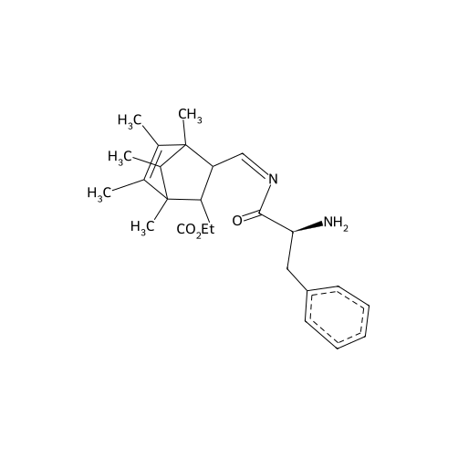 CCOC(=O)C1C(/C=N\C(=O)[C@@H](N)Cc2ccccc2)C2(C)C(C)=C(C)C1(C)C2C